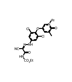 CCOC(=O)NC(=O)C(C#N)=NNc1cc(Cl)c(Oc2cc(C)c(=O)n(C(C)C)c2)c(Cl)c1